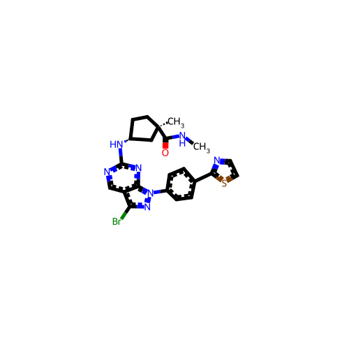 CNC(=O)[C@]1(C)CC[C@@H](Nc2ncc3c(Br)nn(-c4ccc(-c5nccs5)cc4)c3n2)C1